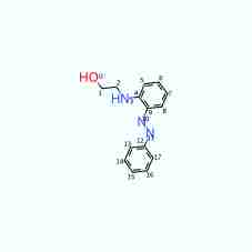 OCCNc1ccccc1N=Nc1ccccc1